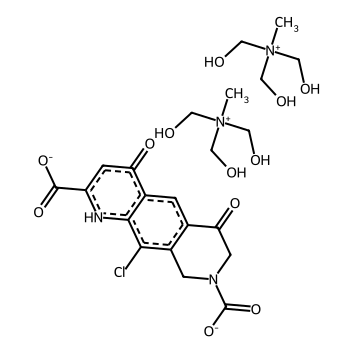 C[N+](CO)(CO)CO.C[N+](CO)(CO)CO.O=C([O-])c1cc(=O)c2cc3c(c(Cl)c2[nH]1)CN(C(=O)[O-])CC3=O